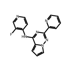 Fc1cnccc1Nc1nc(-c2ccccn2)nn2cccc12